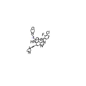 CN1CC[C@](C)(C#Cc2cc3ncnc(Nc4cccc(Cl)c4F)c3cc2NC(=O)/C=C/CN2CCOCC2)C1